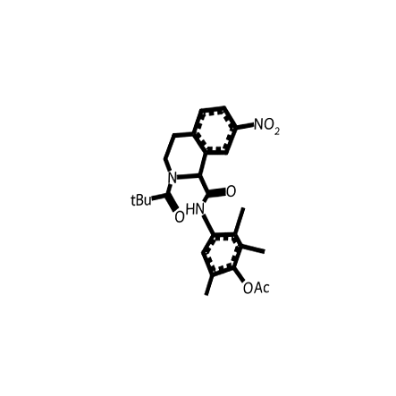 CC(=O)Oc1c(C)cc(NC(=O)C2c3cc([N+](=O)[O-])ccc3CCN2C(=O)C(C)(C)C)c(C)c1C